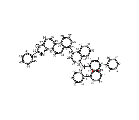 c1ccc(-c2ccc(N(c3ccccc3-c3ccccc3)c3ccc(-c4cccc5c4ccc4c5ccc5oc(-c6ccccc6)nc54)c4ccccc34)cc2)cc1